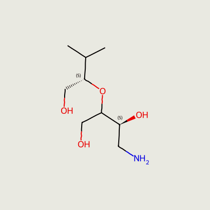 CC(C)[C@@H](CO)OC(CO)[C@@H](O)CN